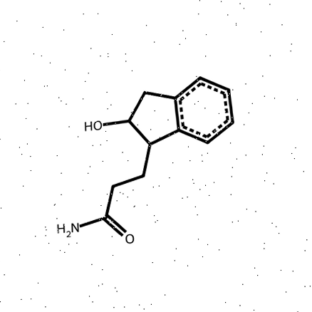 NC(=O)CCC1c2ccccc2CC1O